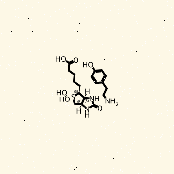 NCCc1ccc(O)cc1.O=C(O)CCCC[C@@H]1SC[C@@H]2NC(=O)N[C@@H]21.OO